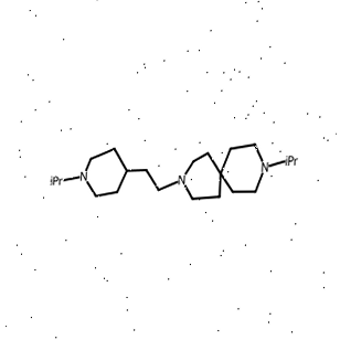 CC(C)N1CCC(CCN2CCC3(CC2)CCN(C(C)C)CC3)CC1